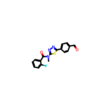 CN(C(=O)c1ccccc1F)c1nnc(-c2ccc(C=O)cc2)s1